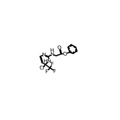 O=C(CNC1=NC=CC(Cl)(C(F)(F)F)N1)Oc1ccccc1